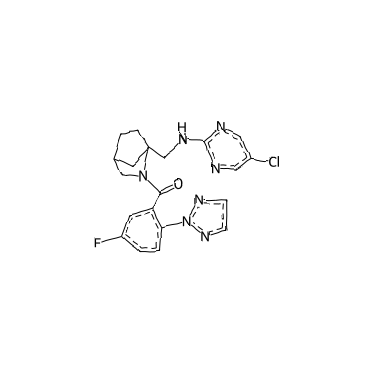 O=C(c1cc(F)ccc1-n1nccn1)N1CC2CCC1(CNc1ncc(Cl)cn1)C2